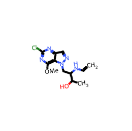 C=CNC(Cn1ncc2nc(Cl)nc(OC)c21)C(C)O